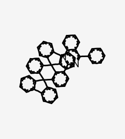 c1ccc(-c2nc(-c3cccc4c3C3(c5ccccc5-c5ccccc53)c3ccccc3C43c4ccccc4-c4ccccc43)nc3ccccc23)cc1